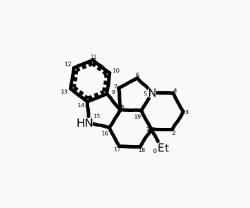 CCC12CCCN3CCC4(c5ccccc5NC4CC1)C32